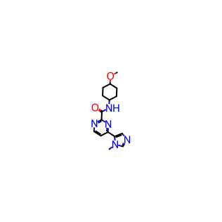 COC1CCC(NC(=O)c2nccc(-c3cncn3C)n2)CC1